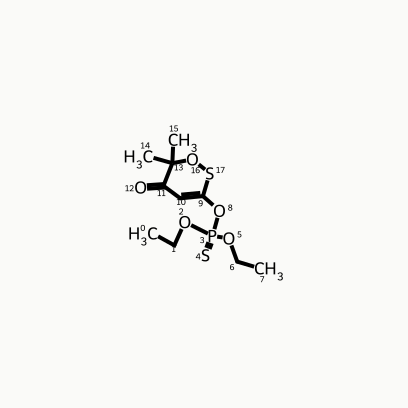 CCOP(=S)(OCC)OC1=CC(=O)C(C)(C)OS1